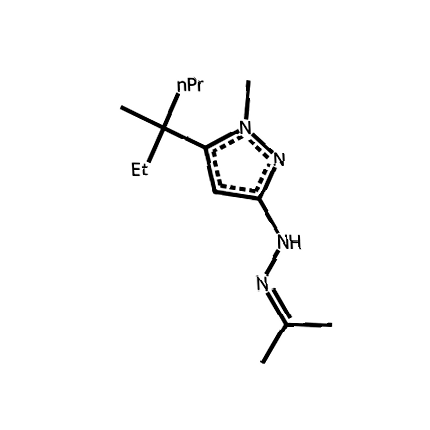 CCCC(C)(CC)c1cc(NN=C(C)C)nn1C